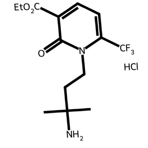 CCOC(=O)c1ccc(C(F)(F)F)n(CCC(C)(C)N)c1=O.Cl